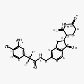 Bc1cc(C(F)(F)C(=O)NCc2ccc3c(c2)CN(C2CCC(=O)NC2=O)C3=O)ccc1Cl